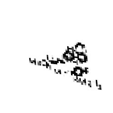 CON(C)C(=O)CCCN1CC[C@H]2[C@@H](C1)c1cccc3c1N2CCCS3.COc1ccc(F)cc1Br.[MgH2]